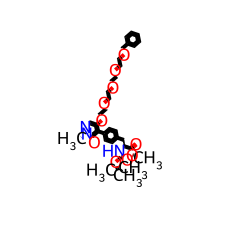 COC(=O)[C@H](Cc1ccc(-c2c(OCCOCCOCCOCCOCc3ccccc3)cnn(C)c2=O)cc1)NC(=O)OC(C)(C)C